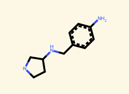 Nc1ccc(CNC2CC[N]C2)cc1